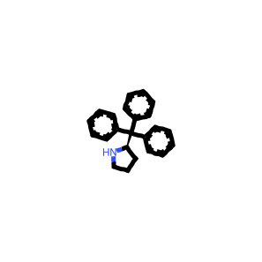 c1ccc(C(c2ccccc2)(c2ccccc2)[C@H]2CCCN2)cc1